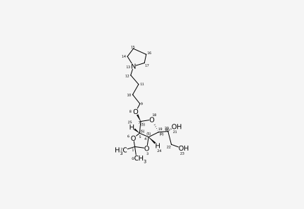 CC1(C)O[C@@H]2[C@H](O1)[C@@H](OCCCCN1CCCC1)O[C@@H]2[C@H](O)CO